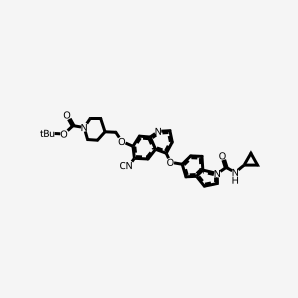 [C-]#[N+]c1cc2c(Oc3ccc4c(ccn4C(=O)NC4CC4)c3)ccnc2cc1OCC1CCN(C(=O)OC(C)(C)C)CC1